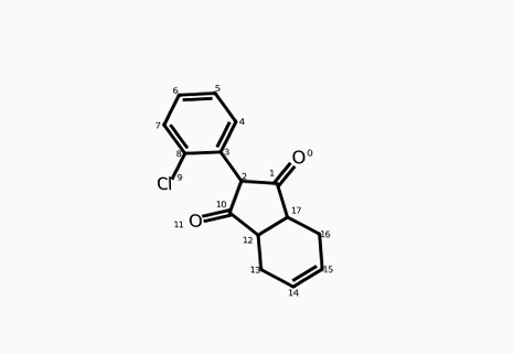 O=C1C(c2ccccc2Cl)C(=O)C2CC=CCC12